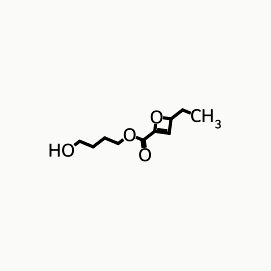 CCC1C=C(C(=O)OCCCCO)O1